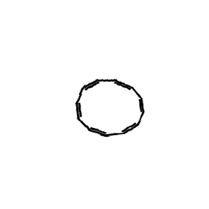 C1=C\C=C/C=C\C=C/C=C\C=C/1